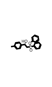 Cc1ccc([C@H](O)CP(=O)(Oc2ccccc2)c2ccccc2)cc1